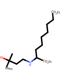 CCCCCCC(C)(O)CCNC(CCCCCCC(=O)OCC)C(=O)OCC